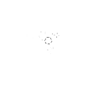 CS(=O)(=O)Nc1cc(C[C@H](N)C(=O)O)cc(NS(C)(=O)=O)c1